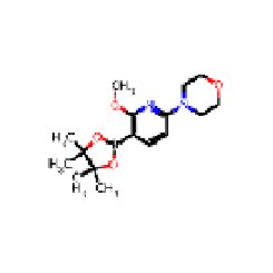 COc1nc(N2CCOCC2)ccc1B1OC(C)(C)C(C)(C)O1